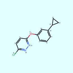 Clc1ccc(Oc2cccc(C3CC3)c2)nn1